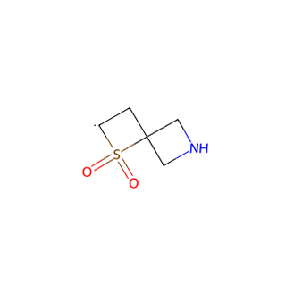 O=S1(=O)[CH]CC12CNC2